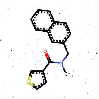 CN(Cc1ccc2ccccc2c1)C(=O)c1ccsc1